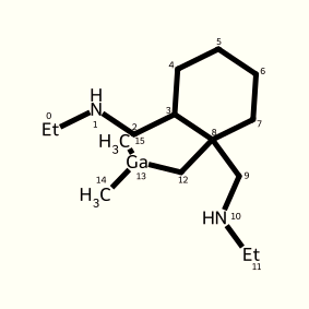 CCNCC1CCCCC1(CNCC)[CH2][Ga]([CH3])[CH3]